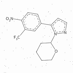 O=[N+]([O-])c1ccc(-c2ccnn2C2CCCCO2)cc1C(F)(F)F